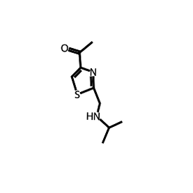 CC(=O)c1csc(CNC(C)C)n1